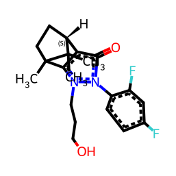 CC12CC[C@H](c3c1n(CCCO)n(-c1ccc(F)cc1F)c3=O)C2(C)C